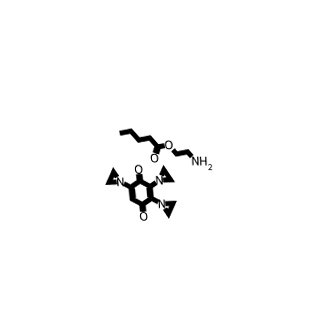 CCCCC(=O)OCCN.O=C1C=C(N2CC2)C(=O)C(N2CC2)=C1N1CC1